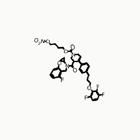 O=C(OCCCCO[N+](=O)[O-])N1CC=C(c2ccc(CCCOc3c(F)ccc(F)c3F)cc2)C(C(=O)N(Cc2c(F)cccc2Cl)C2CC2)C1